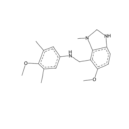 COc1ccc2c(c1CNc1cc(C)c(OC)c(C)c1)N(C)CN2